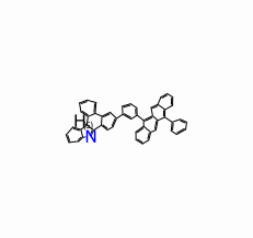 c1ccc(-c2c3ccccc3cc3c(-c4cccc(-c5ccc6c(c5)-c5ccccc5[C@@H]5C6=Nc6ccccc65)c4)c4ccccc4cc23)cc1